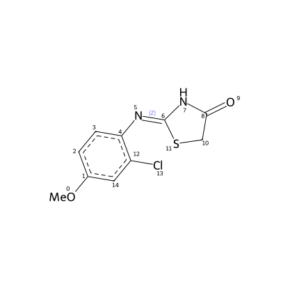 COc1ccc(/N=C2/NC(=O)CS2)c(Cl)c1